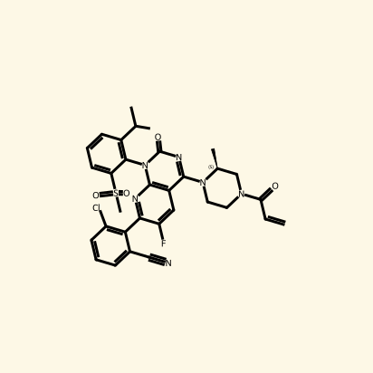 C=CC(=O)N1CCN(c2nc(=O)n(-c3c(C(C)C)cccc3S(C)(=O)=O)c3nc(-c4c(Cl)cccc4C#N)c(F)cc23)[C@@H](C)C1